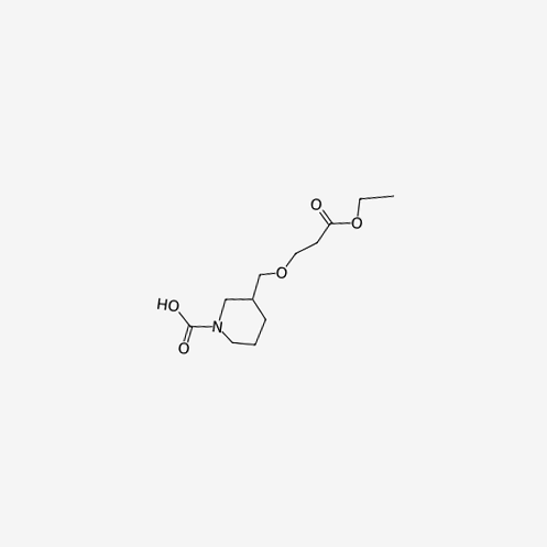 CCOC(=O)CCOCC1CCCN(C(=O)O)C1